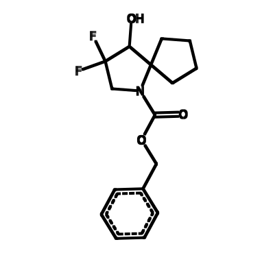 O=C(OCc1ccccc1)N1CC(F)(F)C(O)C12CCCC2